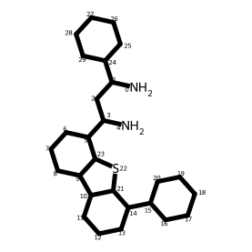 NC(CC(N)C1CCCC2C3CCCC(C4CCCCC4)C3SC12)C1CCCCC1